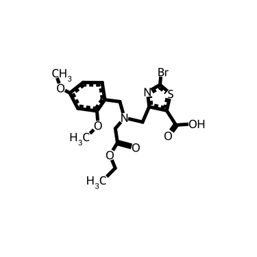 CCOC(=O)CN(Cc1ccc(OC)cc1OC)Cc1nc(Br)sc1C(=O)O